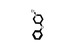 [CH2]CN1CCC(Oc2ccccc2)CC1